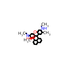 CCN=c1cc2oc3cc(NCC)c(C)cc3c(-c3cccc4cccc(C(=O)O)c34)c-2cc1C